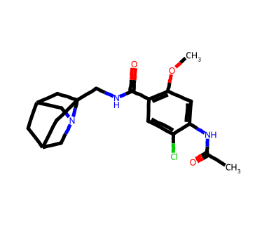 COc1cc(NC(C)=O)c(Cl)cc1C(=O)NCC12CC3CC(CN1C3)C2